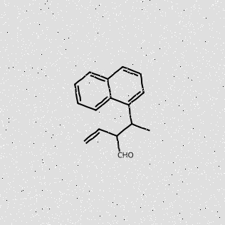 C=CC(C=O)C(C)c1cccc2ccccc12